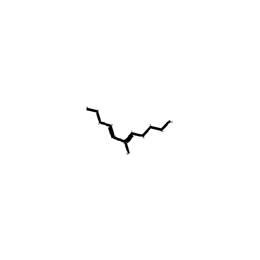 CCCC=CC(C)=CCCCC